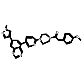 COc1ccc(CC(=O)N2CCN(c3ccc(-c4cc(-c5cnn(C)c5)cc5ncncc45)cn3)CC2)cc1